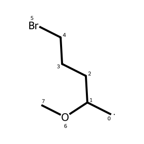 [CH2]C(CCCBr)OC